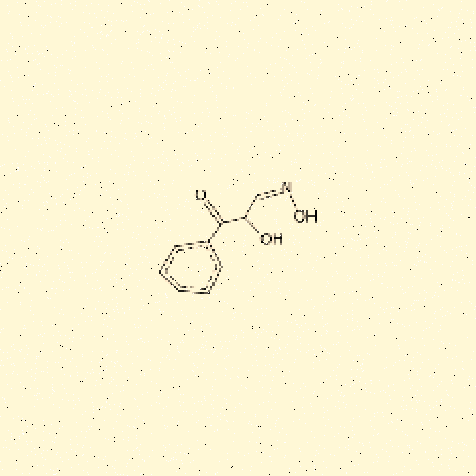 O=C(c1ccccc1)C(O)/C=N\O